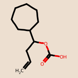 C=CCC(OC(=O)O)C1CCCCCC1